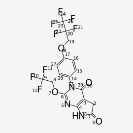 O=C1Cc2c(nc(OCC(F)(F)F)n(-c3ccc(OCC(F)(F)C(F)(F)F)cc3)c2=O)N1